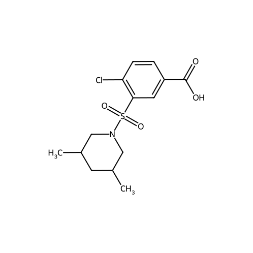 CC1CC(C)CN(S(=O)(=O)c2cc(C(=O)O)ccc2Cl)C1